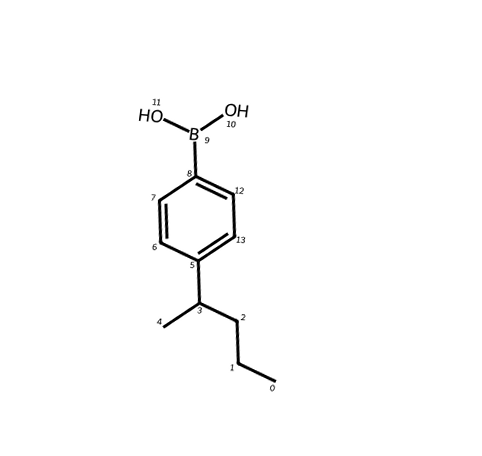 CCCC(C)c1ccc(B(O)O)cc1